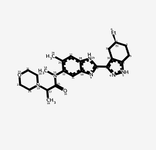 CC[C@H]1CCc2[nH]nc(-c3nc4cc(N(C)C(=O)C(C)N5CCOCC5)c(C)cc4[nH]3)c2C1